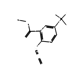 COC(=O)c1cc(C(F)(F)F)ccc1N=C=O